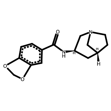 O=C(N[C@@H]1C[C@H]2CCN(C2)C1)c1ccc2c(c1)OCO2